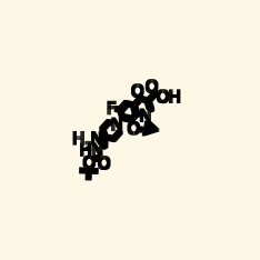 COc1c(N2CCC(N)(CNC(=O)OC(C)(C)C)CC2)c(F)cc2c(=O)c(C(=O)O)cn(C3CC3)c12